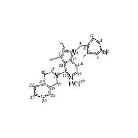 Cc1c(C)n(Cc2ccc(F)cc2)c2ccnc(N3CCc4ccccc4C3)c12.Cl